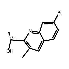 Cc1cc2ccc(Br)cc2nc1[C@@H](C)O